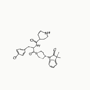 CC1(C)C(=O)N(C2CCN(C(=O)C(Cc3ccc(Cl)cc3)NC(=O)C3CCNCC3)CC2)c2ccccc21